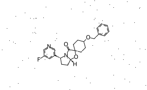 O=C1N2[C@@H](CC[C@H]2c2cncc(F)c2)OC12CCC(OCc1ccccc1)CC2